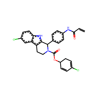 C=CC(=O)Nc1ccc(C2c3[nH]c4ccc(Cl)cc4c3CCN2C(=O)OC2C=CC(Cl)=CC2)cc1